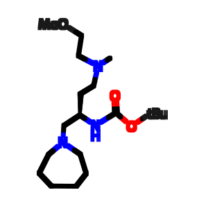 COCCN(C)CC[C@H](CN1CCCCCC1)NC(=O)OC(C)(C)C